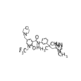 Cn1cnnc1CC(C)(C)c1cccc(NC(=O)c2cc(CN3CCOCC3)cn(CC(F)(F)F)c2=O)c1